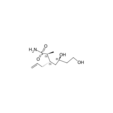 C=CC[C@@H](C[C@@H](O)CCO)[C@H](C)S(N)(=O)=O